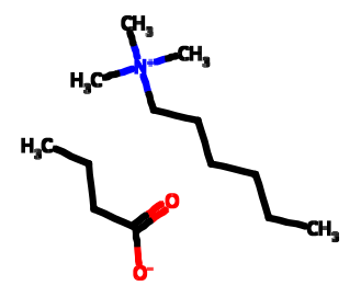 CCCC(=O)[O-].CCCCCC[N+](C)(C)C